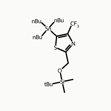 CCC[CH2][Sn]([CH2]CCC)([CH2]CCC)[c]1sc(CO[Si](C)(C)C(C)(C)C)nc1C(F)(F)F